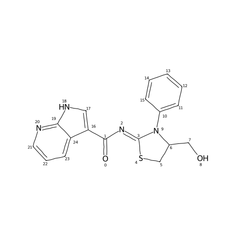 O=C(/N=C1\SCC(CO)N1c1ccccc1)c1c[nH]c2ncccc12